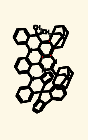 CC1(C)c2ccccc2N(c2cccc(N3c4ccccc4C4(c5ccccc5-c5ccccc54)c4ccccc43)c2-c2nc(C34CC5CC(CC(C5)C3)C4)nc(C34CC5CC(CC(C5)C3)C4)n2)c2ccccc21